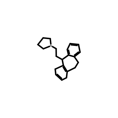 C1=CCC2=C(C1)CCc1ccccc1C2CCN1CCCC1